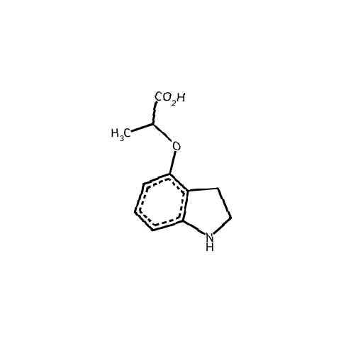 CC(Oc1cccc2c1CCN2)C(=O)O